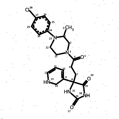 CC1CN(C(=O)CCC2(C3=CC=CNC3)NC(=O)NC2=O)CCN1c1ccc(Cl)cc1